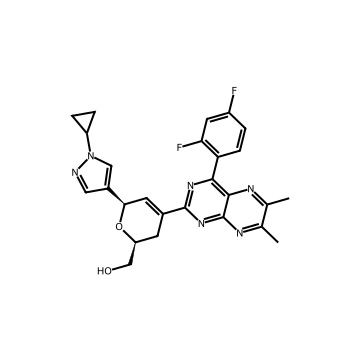 Cc1nc2nc(C3=C[C@H](c4cnn(C5CC5)c4)O[C@H](CO)C3)nc(-c3ccc(F)cc3F)c2nc1C